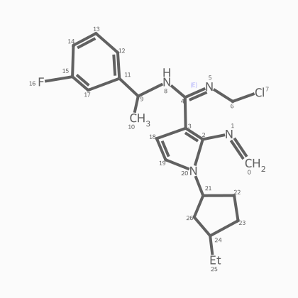 C=Nc1c(/C(=N\CCl)NC(C)c2cccc(F)c2)ccn1C1CCC(CC)C1